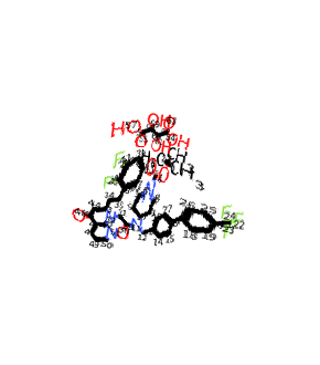 CC(C)(C)OC(=O)N1CCC(N(Cc2ccc(-c3ccc(C(F)(F)F)cc3)cc2)C(=O)Cn2c(CCc3cccc(F)c3F)cc(=O)c3cccnc32)CC1.O=C(O)C(O)C(O)C(=O)O